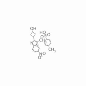 Cc1c(C2CC(O)C2)nc2ccc([N+](=O)[O-])cn12.Cc1ccc(S(=O)(=O)O)cc1